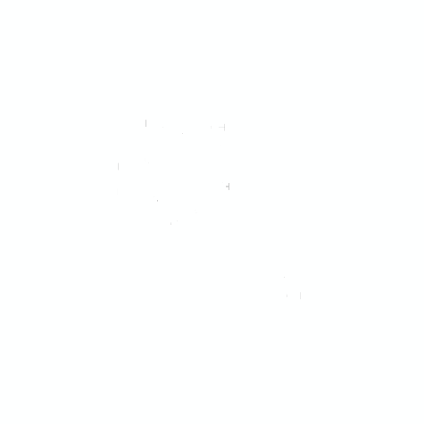 COc1ccc(C=CC(=O)c2c(O)c(OC)c(OC)c(OC)c2OC)cc1